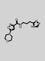 O=C(NCCCc1nnc[nH]1)c1cc(N2CCOCC2)on1